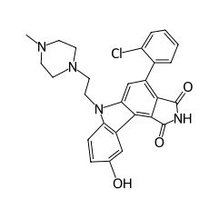 CN1CCN(CCn2c3ccc(O)cc3c3c4c(c(-c5ccccc5Cl)cc32)C(=O)NC4=O)CC1